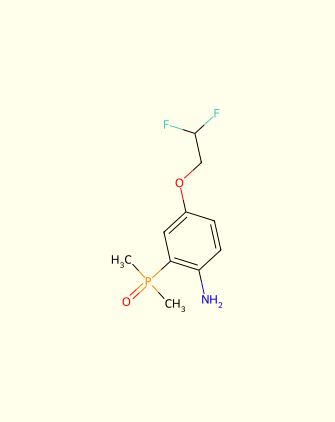 CP(C)(=O)c1cc(OCC(F)F)ccc1N